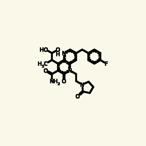 CC(c1c(C(N)=O)c(=O)n(CCN2CCCC2=O)c2cc(Cc3ccc(F)cc3)cnc12)C(O)O